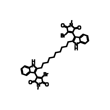 CN1C(=O)C(Br)=C(c2c(CCCCCCCCCCc3[nH]c4ccccc4c3C3=C(Br)C(=O)N(C)C3=O)[nH]c3ccccc23)C1=O